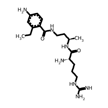 CCc1cc(N)ccc1C(=O)NCC[C@@H](C)NC(=O)[C@@H](N)CCCNC(=N)N